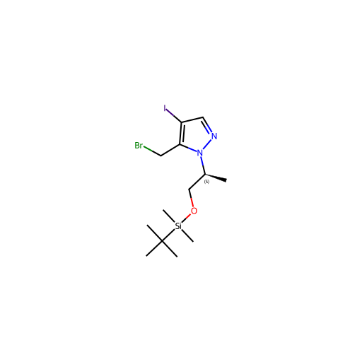 C[C@@H](CO[Si](C)(C)C(C)(C)C)n1ncc(I)c1CBr